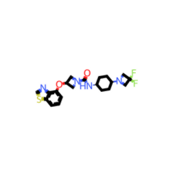 O=C(N[C@H]1CC[C@H](N2CC(F)(F)C2)CC1)N1CC(Oc2cccc3scnc23)C1